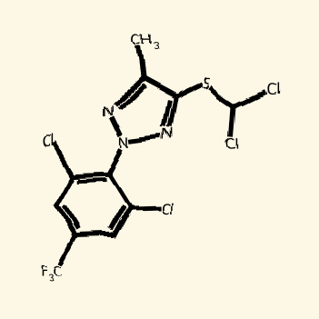 Cc1nn(-c2c(Cl)cc(C(F)(F)F)cc2Cl)nc1SC(Cl)Cl